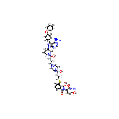 Nc1ncnc2c1c(-c1ccc(Oc3ccccc3)cc1)nn2C1CCCN(C(=O)CCCN2CCN(C(=O)CCCSc3cccc4c3C(=O)N(C3CCC(=O)NC3=O)C4=O)CC2)C1